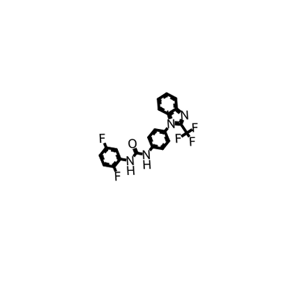 O=C(Nc1ccc(-n2c(C(F)(F)F)nc3ccccc32)cc1)Nc1cc(F)ccc1F